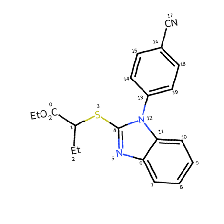 CCOC(=O)C(CC)Sc1nc2ccccc2n1-c1ccc(C#N)cc1